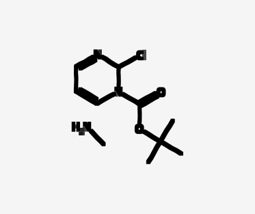 CC(C)(C)OC(=O)N1C=CC=NC1Cl.CN